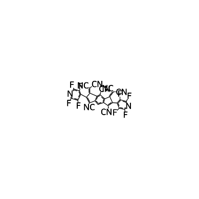 N#CC(C#N)=C1C(c2c(F)c(F)nc(F)c2F)=C(C#N)c2cc3c(c(C#N)c21)C(=C(C#N)C#N)C(c1c(F)c(F)nc(F)c1F)=C3C#N